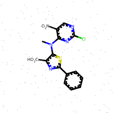 CN(c1nc(Cl)ncc1[N+](=O)[O-])c1sc(-c2ccccc2)nc1C(=O)O